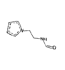 O=CNCCn1cccc1